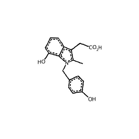 Cc1c(CC(=O)O)c2cccc(O)c2n1Cc1ccc(O)cc1